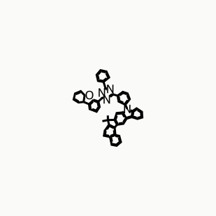 CC1(C)c2cc3c(cc2-c2c1ccc1ccccc21)c1ccccc1n3-c1cccc(-c2nc(-c3ccccc3)nc(-c3cccc4c3OC3C=CC=CC43)n2)c1